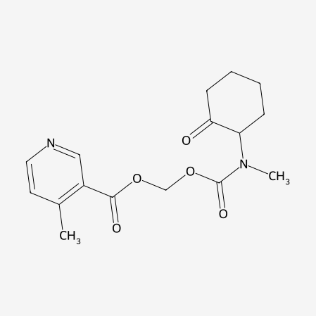 Cc1ccncc1C(=O)OCOC(=O)N(C)C1CCCCC1=O